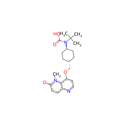 Cn1c(=O)ccc2nccc(OC[C@H]3CC[C@H](N(C(=O)O)C(C)(C)C)CC3)c21